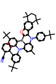 Cc1cc2c3c(c1)N(c1ccc(C(C)(C)C)cc1)c1c(oc4cc5c(cc14)C(C)(C)CCC5(C)C)B3c1cc(C(C)(C)C)ccc1N2c1ccc(C(C)(C)C)cc1-c1ccccc1C#N